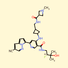 CN1CC(C(=O)NCC2CC(Nc3cc(-c4ccc5cc(C#N)cnn45)ncc3C(=O)NC[C@@H](F)C(C)(C)O)C2)C1